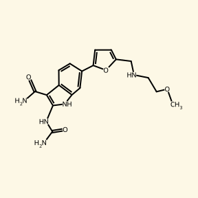 COCCNCc1ccc(-c2ccc3c(C(N)=O)c(NC(N)=O)[nH]c3c2)o1